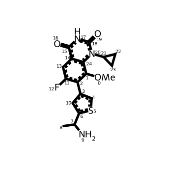 COc1c(-c2csc(C(C)N)c2)c(F)cc2c(=O)[nH]c(=O)n(C3CC3)c12